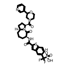 O=C(N[C@H]1CCC[C@H]2CC[C@@H](C(=O)N3CCOC(c4cccnc4)C3)N2C1=O)c1cc2cc(C(F)(F)P(=O)(O)O)ccc2s1